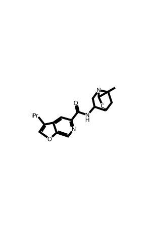 CC(C)c1coc2cnc(C(=O)NC3CN4CCC3CC4C)cc12